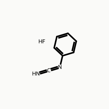 F.N=C=Nc1ccccc1